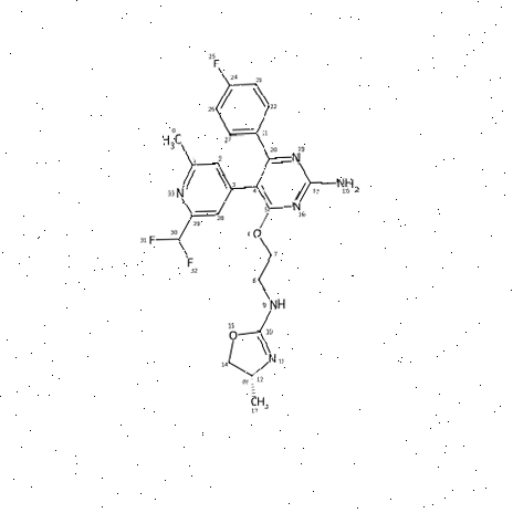 Cc1cc(-c2c(OCCNC3=N[C@H](C)CO3)nc(N)nc2-c2ccc(F)cc2)cc(C(F)F)n1